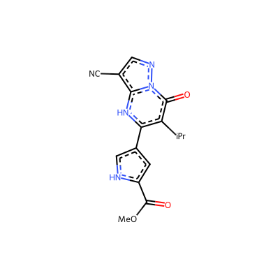 COC(=O)c1cc(-c2[nH]c3c(C#N)cnn3c(=O)c2C(C)C)c[nH]1